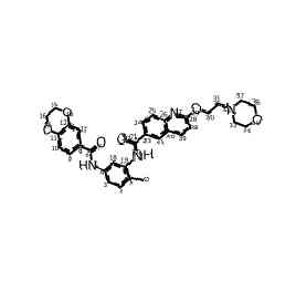 Cc1ccc(NC(=O)c2ccc3c(c2)OCCO3)cc1NC(=O)c1ccc2nc(OCCN3CCOCC3)ccc2c1